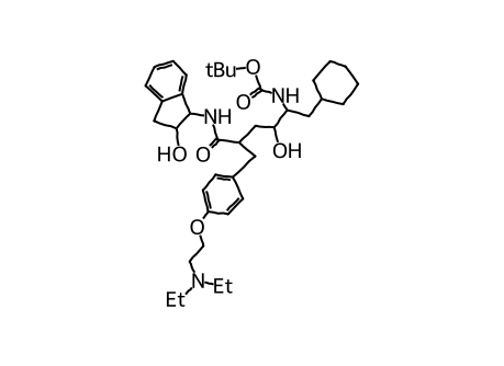 CCN(CC)CCOc1ccc(CC(CC(O)C(CC2CCCCC2)NC(=O)OC(C)(C)C)C(=O)NC2c3ccccc3CC2O)cc1